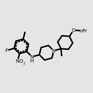 CCCOC1CCC(C)(N2CCC(Nc3cc(C)cc(F)c3[N+](=O)[O-])CC2)CC1